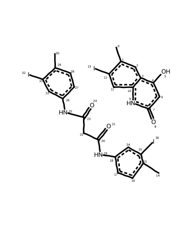 Cc1cc2c(O)cc(=O)[nH]c2cc1I.Cc1ccc(NC(=O)CC(=O)Nc2ccc(C)c(I)c2)cc1I